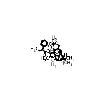 CCC(C(=O)O[C@H]1C(C)=C[C@]23C(O)C(C=C4COC(C)(C)O[C@H]4[C@]12O)[C@H]1[C@@H](C[C@H]3C)C1(C)C)c1ccccc1